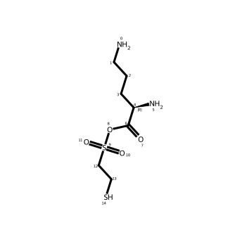 NCCC[C@@H](N)C(=O)OS(=O)(=O)CCS